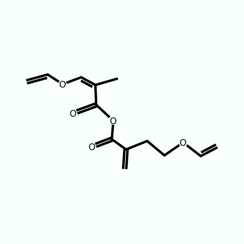 C=COC=C(C)C(=O)OC(=O)C(=C)CCOC=C